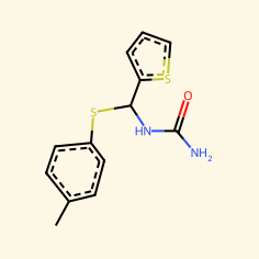 Cc1ccc(SC(NC(N)=O)c2cccs2)cc1